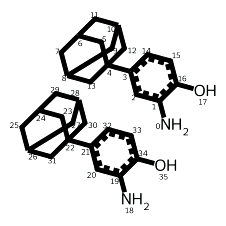 Nc1cc(C23CC4CC(CC(C4)C2)C3)ccc1O.Nc1cc(C23CC4CC(CC(C4)C2)C3)ccc1O